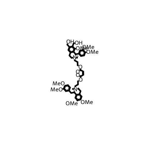 COc1ccc(CC2c3cc(OC)c(OC)cc3CC[N+]2(C)CCCOC(=O)/C=C\C(=O)OCCC[N+]2(C)CCc3cc(CO)c(CO)c(OC)c3C2c2ccc(OC)c(OC)c2)cc1OC